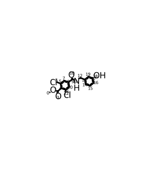 COC(=O)c1c(Cl)cc(C(=O)NCc2cccc(O)c2)cc1Cl